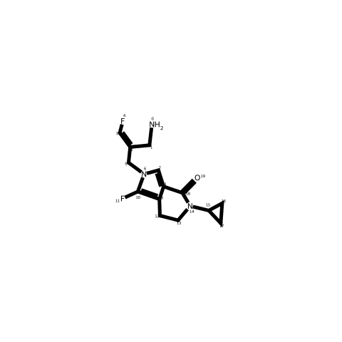 NC/C(=C\F)Cn1cc2c(c1F)CCN(C1CC1)C2=O